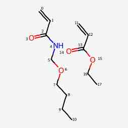 C=CC(=O)NCOCCCC.C=CC(=O)OCC